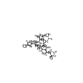 CCCOC(=O)[C@@H](NS(=O)(=O)c1cccc(N2CCCC2=O)c1CC)C(NC(=O)c1ccc(Cl)s1)c1nccn1C.Cl